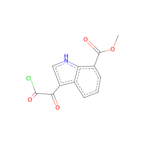 COC(=O)c1cccc2c(C(=O)C(=O)Cl)c[nH]c12